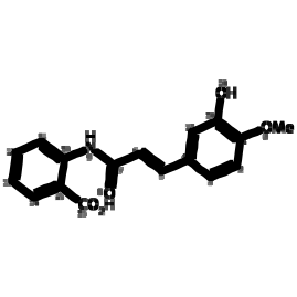 COc1ccc(/C=C/C(=O)Nc2ccccc2C(=O)O)cc1O